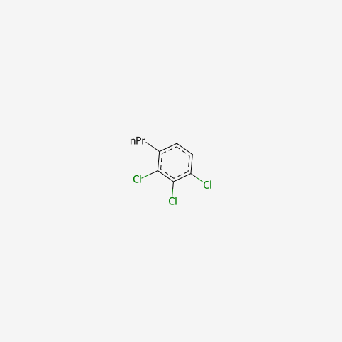 C[CH]Cc1ccc(Cl)c(Cl)c1Cl